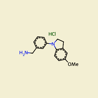 COc1ccc2c(c1)CCN2c1cccc(CN)c1.Cl